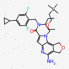 CCC(CC)N(Cc1c(F)cc(C2CC2)cc1F)C(=O)c1cc2nc(N)c3c(c2n1COCC[Si](C)(C)C)COC3